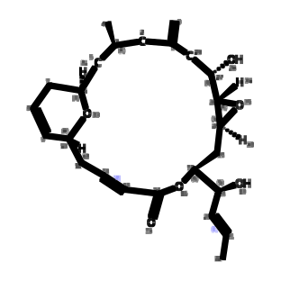 C=C1C[C@H](C)C[C@@H]2CC=C[C@@H](C/C=C\C(=O)O[C@H]([C@@H](O)/C=C/C)C[C@@H]3O[C@H]3[C@@H](O)C1)O2